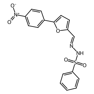 O=[N+]([O-])c1ccc(-c2ccc(C=NNS(=O)(=O)c3ccccc3)o2)cc1